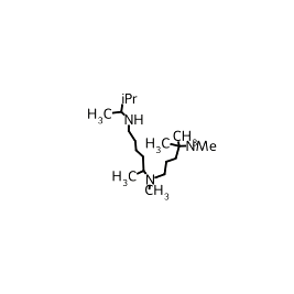 CNC(C)(C)CCCN(C)C(C)CCCCNC(C)C(C)C